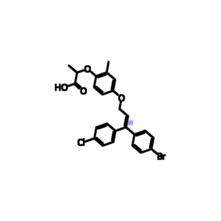 Cc1cc(OC/C=C(\c2ccc(Cl)cc2)c2ccc(Br)cc2)ccc1OC(C)C(=O)O